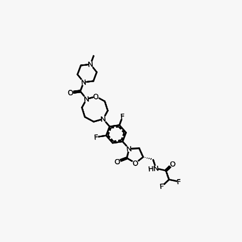 CN1CCN(C(=O)N2CCCN(c3c(F)cc(N4C[C@H](CNC(=O)C(F)F)OC4=O)cc3F)CCO2)CC1